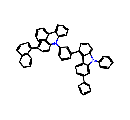 C1=Cc2c(cccc2-c2ccc(N(c3cccc(-c4cccc5c4c4ccc(-c6ccccc6)cc4n5-c4ccccc4)c3)c3ccccc3-c3ccccc3)cc2)CC1